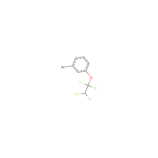 CC(=O)c1cccc(OC(F)(F)C(F)F)c1